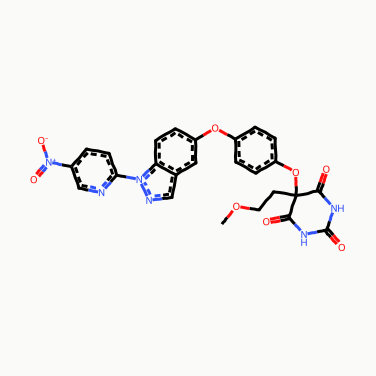 COCCC1(Oc2ccc(Oc3ccc4c(cnn4-c4ccc([N+](=O)[O-])cn4)c3)cc2)C(=O)NC(=O)NC1=O